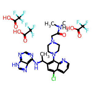 CC(Nc1ncnc2[nH]cnc12)c1cc(Cl)c2cccnc2c1N1CCN(CC(=O)N(C)C)CC1.O=C(O)C(F)(F)F.O=C(O)C(F)(F)F.O=C(O)C(F)(F)F